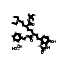 CCN(CC)CCN(CCN(CCc1ccc(O)c2[nH]c(=O)sc12)C(=O)OCc1ccccc1)C(=O)OC(C)(C)C.Cl.Cl